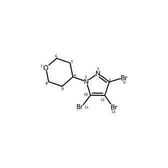 Brc1nn(C2CCOCC2)c(Br)c1Br